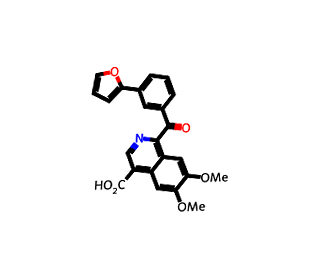 COc1cc2c(C(=O)O)cnc(C(=O)c3cccc(-c4ccco4)c3)c2cc1OC